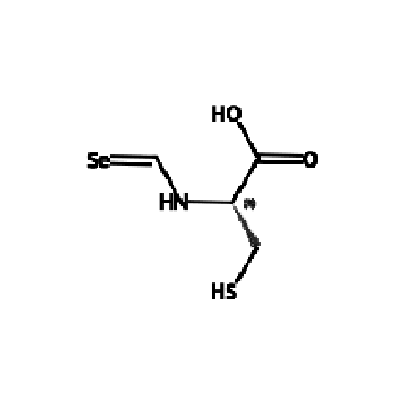 O=C(O)[C@H](CS)NC=[Se]